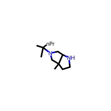 CCCC(C)(C)N1CC2NCCC2(C)C1